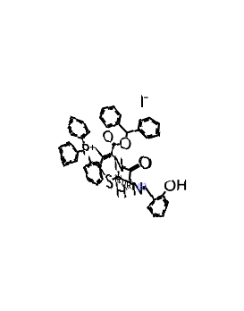 O=C(OC(c1ccccc1)c1ccccc1)C1=C(C[P+](c2ccccc2)(c2ccccc2)c2ccccc2)CS[C@@H]2[C@H](/N=C/c3ccccc3O)C(=O)N12.[I-]